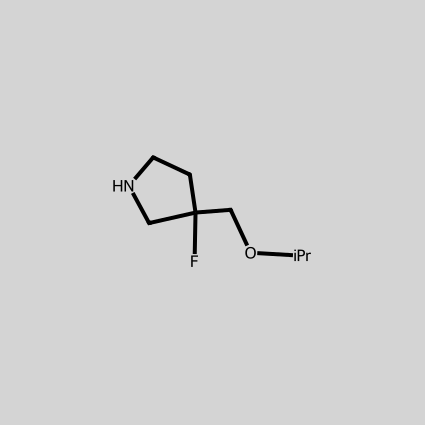 CC(C)OCC1(F)CCNC1